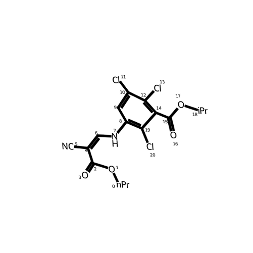 CCCOC(=O)C(C#N)=CNc1cc(Cl)c(Cl)c(C(=O)OC(C)C)c1Cl